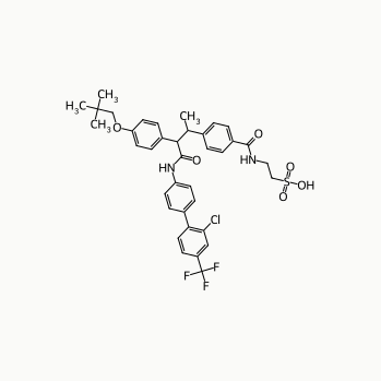 CC(c1ccc(C(=O)NCCS(=O)(=O)O)cc1)C(C(=O)Nc1ccc(-c2ccc(C(F)(F)F)cc2Cl)cc1)c1ccc(OCC(C)(C)C)cc1